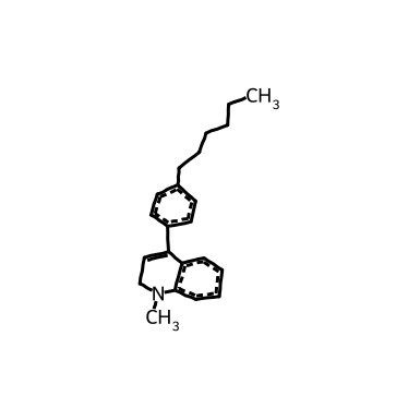 CCCCCCc1ccc(C2=CCN(C)c3ccccc32)cc1